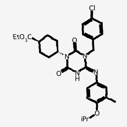 CCOC(=O)[C@H]1CC[C@H](n2c(=O)[nH]/c(=N\c3ccc(OC(C)C)c(C)c3)n(Cc3ccc(Cl)cc3)c2=O)CC1